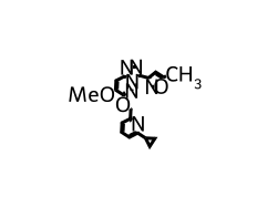 COc1cc2nnc(-c3cc(C)on3)n2nc1OCc1cccc(C2CC2)n1